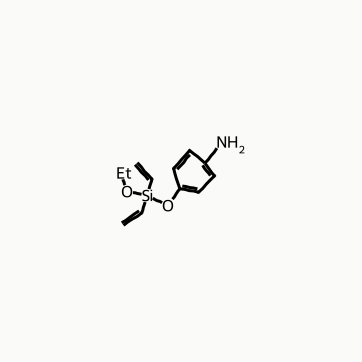 C=C[Si](C=C)(OCC)Oc1ccc(N)cc1